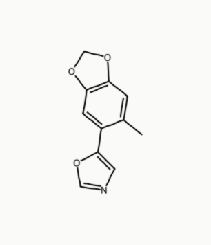 Cc1cc2c(cc1-c1cnco1)OCO2